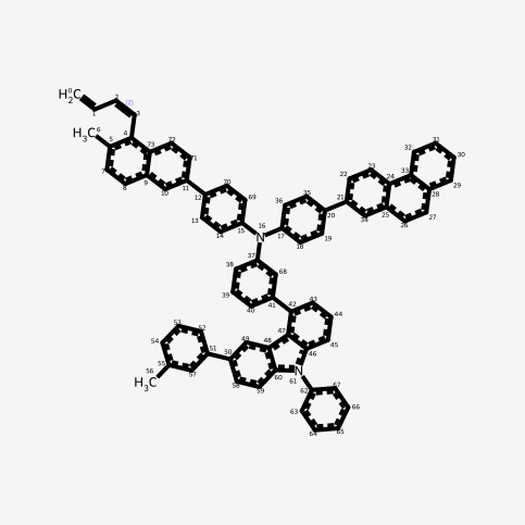 C=C/C=C\c1c(C)ccc2cc(-c3ccc(N(c4ccc(-c5ccc6c(ccc7ccccc76)c5)cc4)c4cccc(-c5cccc6c5c5cc(-c7cccc(C)c7)ccc5n6-c5ccccc5)c4)cc3)ccc12